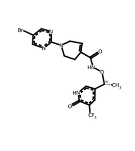 C[C@@H](ONC(=O)C1=CCN(c2ncc(Br)cn2)CC1)c1c[nH]c(=O)c(C(F)(F)F)c1